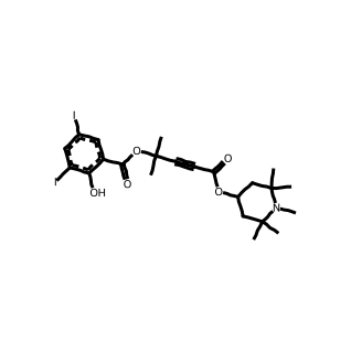 CN1C(C)(C)CC(OC(=O)C#CC(C)(C)OC(=O)c2cc(I)cc(I)c2O)CC1(C)C